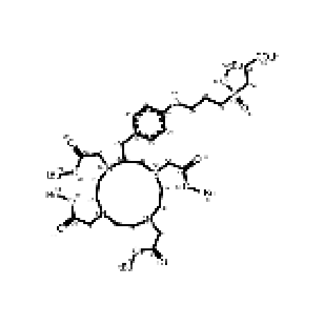 CC(C)(C)OC(=O)CN1CCN(CC(=O)OC(C)(C)C)CCN(CC(=O)OC(C)(C)C)C(Cc2ccc(OCCCP(=O)(CCC(=O)O)OC(C)(C)C)cc2)CN(CC(=O)OC(C)(C)C)CC1